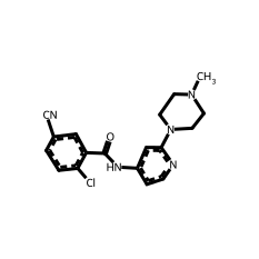 CN1CCN(c2cc(NC(=O)c3cc(C#N)ccc3Cl)ccn2)CC1